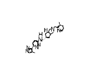 Cc1cccnc1CN1CC2C[C@H](CNc3ccc(-c4c(C)cnn4C)nn3)C[C@H]2C1